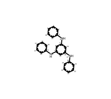 c1ccc(Nc2cc(Nc3ccccc3)cc(Nc3ccccc3)c2)cc1